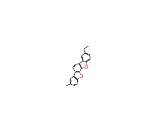 CCc1ccc2oc3c(ccc4c5cc(C)ccc5oc43)c2c1